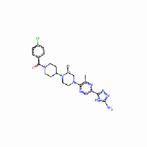 CC[C@H]1CN(c2ncc(-c3nnc(N)[nH]3)nc2C)CCN1C1CCN(C(=O)c2ccc(Cl)cc2)CC1